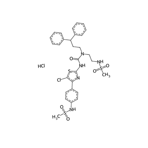 CS(=O)(=O)NCCN(CCC(c1ccccc1)c1ccccc1)C(=O)Nc1nc(-c2ccc(NS(C)(=O)=O)cc2)c(Cl)s1.Cl